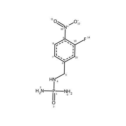 NP(N)(=O)NCc1ccc([N+](=O)[O-])c(F)c1